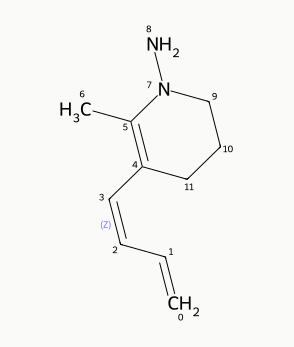 C=C/C=C\C1=C(C)N(N)CCC1